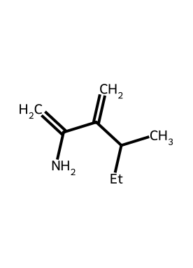 C=C(N)C(=C)C(C)CC